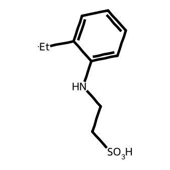 C[CH]c1ccccc1NCCS(=O)(=O)O